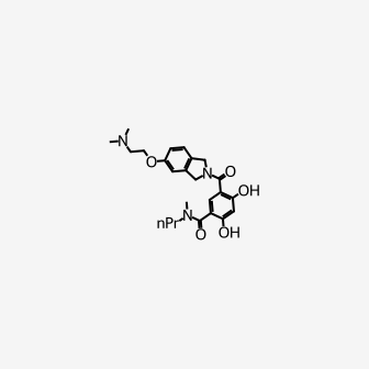 CCCN(C)C(=O)c1cc(C(=O)N2Cc3ccc(OCCN(C)C)cc3C2)c(O)cc1O